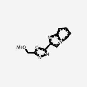 COCc1nnc(-c2cn3ccccc3n2)o1